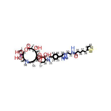 CC[C@@H]1OC(=O)[C@@H](C)[C@H](O)[C@@H](C)[C@H](O[C@H]2O[C@@H](C)C[C@@H](N(C)Cc3ccc(-c4cn(CCNC(=O)CCCC[C@H]5CCSS5)nn4)cc3)[C@@H]2O)C(C)(O)C[C@H](C)CN(C)[C@@H](C)[C@H](O)[C@]1(O)I